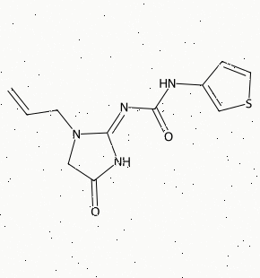 C=CCN1CC(=O)NC1=NC(=O)Nc1ccsc1